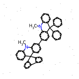 CN1c2ccccc2C(c2ccccc2)(c2ccccc2)c2ccc(-c3ccc4c(c3)N(C)c3ccccc3C43c4ccccc4-c4ccccc43)cc21